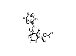 C=C(OCC)c1ccnc(OC[C@@H]2COCCO2)c1F